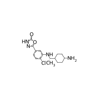 C[C@H](Nc1cc(-c2n[nH]c(=O)o2)ccc1Cl)C1CCC(N)CC1